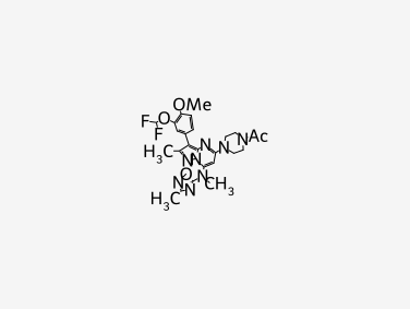 COc1ccc(-c2c(C)nn3c(N(C)c4nc(C)no4)cc(N4CCN(C(C)=O)CC4)nc23)cc1OC(F)F